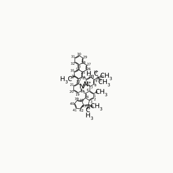 Cc1cc2c(cc1-c1cc(C(C)(C)C)cc[n+]1-[n+]1ccccc1-c1cc3ccc4ccccc4c3cc1C)-c1ccccc1C2(C)C